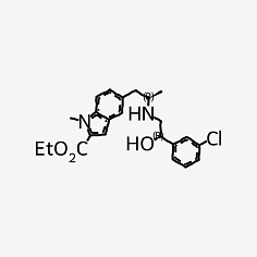 CCOC(=O)c1cc2cc(C[C@@H](C)NC[C@H](O)c3cccc(Cl)c3)ccc2n1C